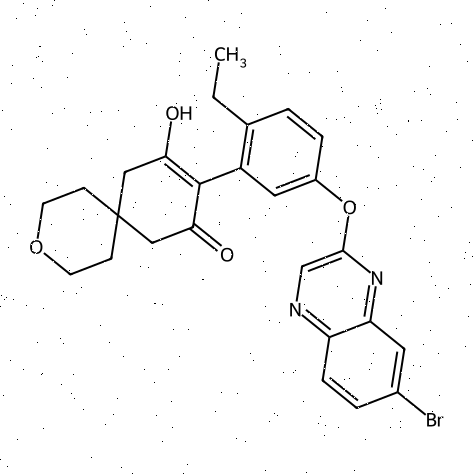 CCc1ccc(Oc2cnc3ccc(Br)cc3n2)cc1C1=C(O)CC2(CCOCC2)CC1=O